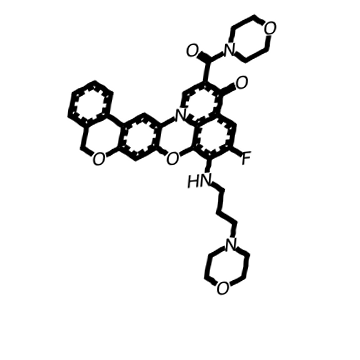 O=C(c1cn2c3c(c(NCCCN4CCOCC4)c(F)cc3c1=O)Oc1cc3c(cc1-2)-c1ccccc1CO3)N1CCOCC1